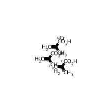 C=C(C)C(=O)O.C=C(C)C(=O)O.C=C(C)C(=O)O.[Cr]